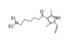 C=Cc1[nH]c(C)c(C(=O)CCCCCN(CC)CC)c1C